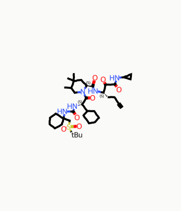 C#CCC[C@H](NC(=O)[C@@H]1CC(C)(C)C(C)CN1C(=O)[C@@H](NC(=O)NC1(CS(=O)(=O)C(C)(C)C)CCCCC1)C1CCCCC1)C(=O)C(=O)NC1CC1